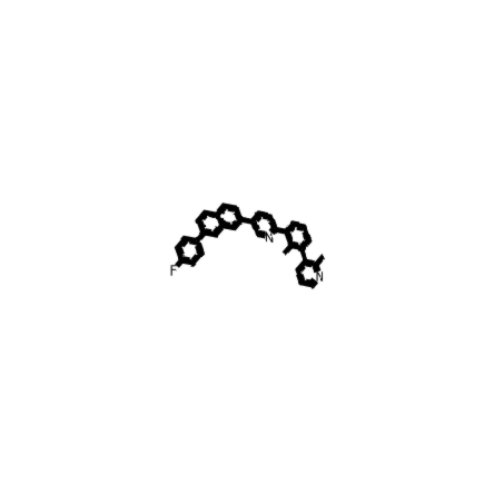 Cc1ncccc1-c1cccc(-c2ccc(-c3ccc4ccc(-c5ccc(F)cc5)cc4c3)cn2)c1C